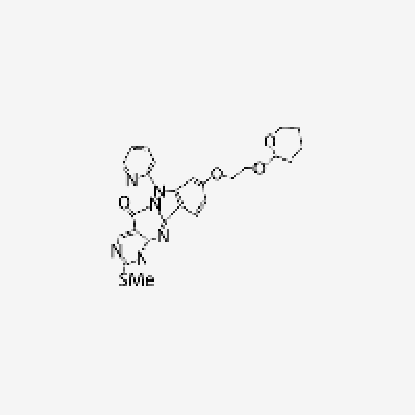 CSc1ncc2c(=O)n3c(nc2n1)c1ccc(OCCOC2CCCCO2)cc1n3-c1ccccn1